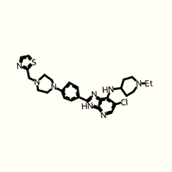 CCN1CCC(Nc2c(Cl)cnc3[nH]c(-c4ccc(N5CCN(Cc6nccs6)CC5)cc4)nc23)CC1